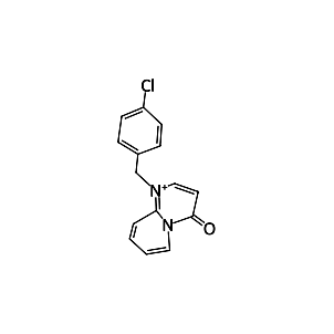 O=c1cc[n+](Cc2ccc(Cl)cc2)c2ccccn12